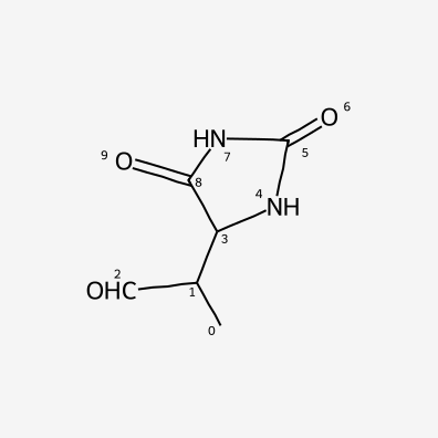 CC(C=O)C1NC(=O)NC1=O